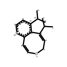 CC(C)/C1=C/CO/C=C\c2nccc(C(C)C)c21